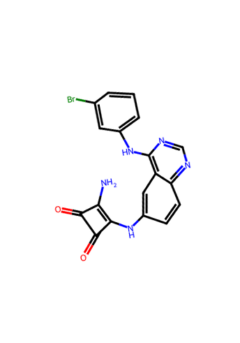 Nc1c(Nc2ccc3ncnc(Nc4cccc(Br)c4)c3c2)c(=O)c1=O